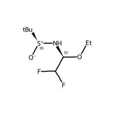 CCO[C@H](N[S@@+]([O-])C(C)(C)C)C(F)F